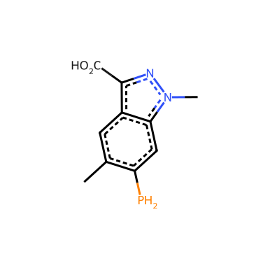 Cc1cc2c(C(=O)O)nn(C)c2cc1P